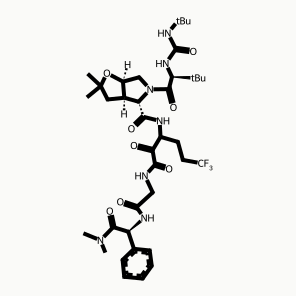 CN(C)C(=O)[C@@H](NC(=O)CNC(=O)C(=O)C(CCC(F)(F)F)NC(=O)[C@@H]1[C@H]2CC(C)(C)O[C@H]2CN1C(=O)[C@@H](NC(=O)NC(C)(C)C)C(C)(C)C)c1ccccc1